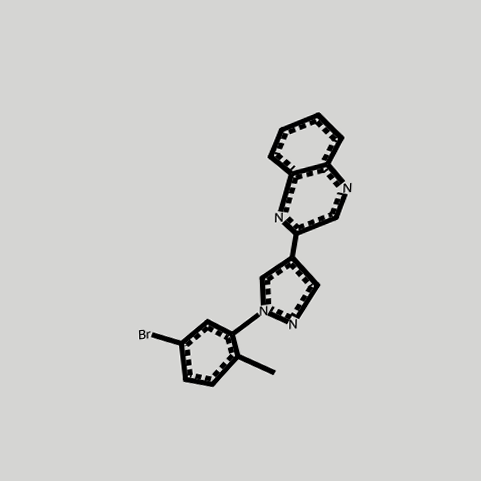 Cc1ccc(Br)cc1-n1cc(-c2cnc3ccccc3n2)cn1